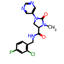 CN1C(=O)N(c2cncnc2)CC1C(=O)NCc1ccc(F)cc1Cl